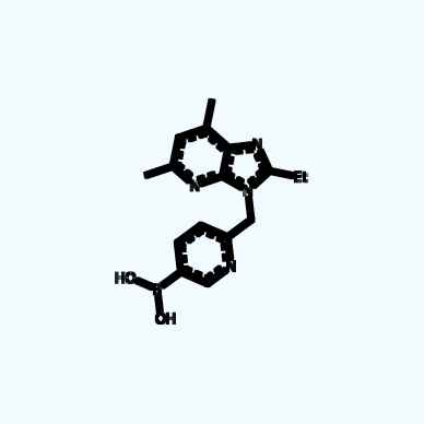 CCc1nc2c(C)cc(C)nc2n1Cc1ccc(B(O)O)cn1